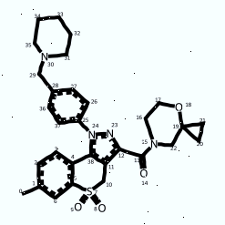 Cc1ccc2c(c1)S(=O)(=O)Cc1c(C(=O)N3CCOC4(CC4)C3)nn(-c3ccc(CN4CCCCC4)cc3)c1-2